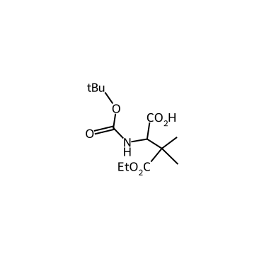 CCOC(=O)C(C)(C)C(NC(=O)OC(C)(C)C)C(=O)O